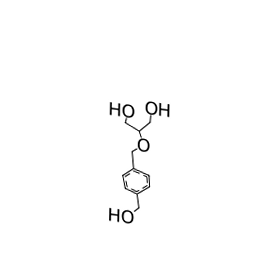 OCc1ccc(COC(CO)CO)cc1